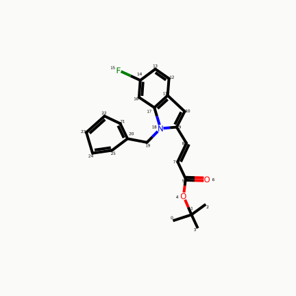 CC(C)(C)OC(=O)C=Cc1cc2ccc(F)cc2n1Cc1ccccc1